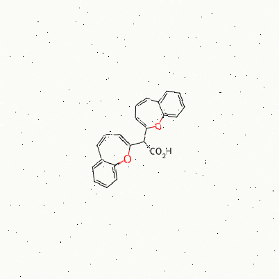 O=C(O)C(C1=CC=Cc2ccccc2O1)C1=CC=Cc2ccccc2O1